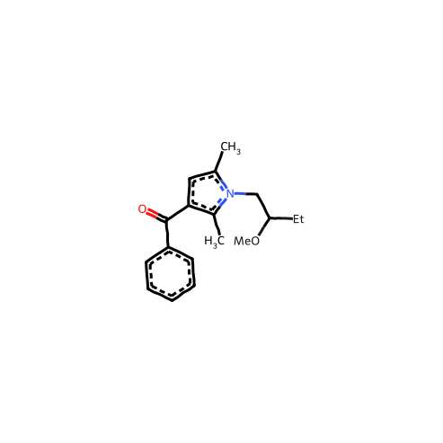 CCC(Cn1c(C)cc(C(=O)c2ccccc2)c1C)OC